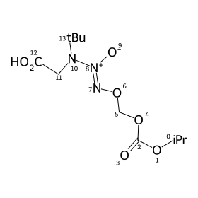 CC(C)OC(=O)OCON=[N+]([O-])N(CC(=O)O)C(C)(C)C